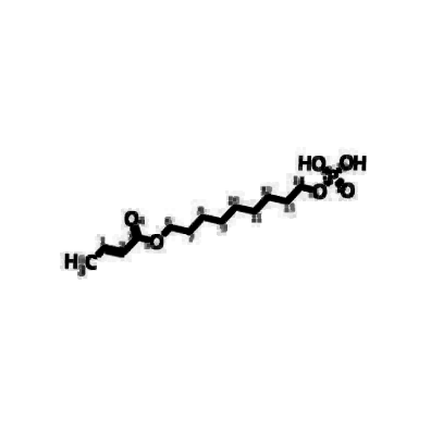 CC=CC(=O)OCCCCCCCCCOP(=O)(O)O